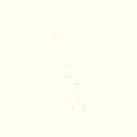 C=CC(=O)OCCSc1ccc(C(=O)C(CC)(Cc2ccccc2)N(C)C)cc1